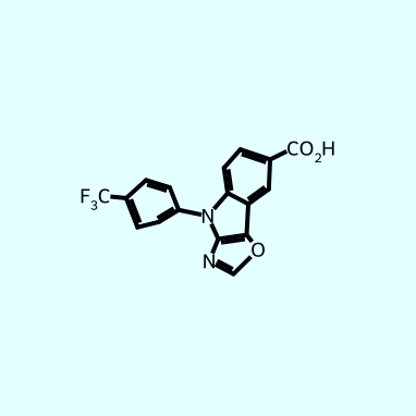 O=C(O)c1ccc2c(c1)c1ocnc1n2-c1ccc(C(F)(F)F)cc1